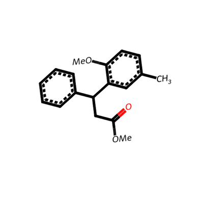 COC(=O)CC(c1ccccc1)c1cc(C)ccc1OC